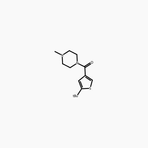 CN1CCN(C(=O)c2csc(C(C)(C)C)c2)CC1